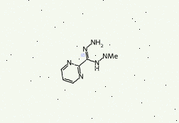 CNN/C(=N\N)c1ncccn1